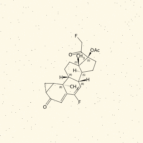 CC(=O)O[C@@]1(C(=O)CF)CC[C@H]2[C@@H]3C=C(F)C4=CC(=O)C5CC5[C@@]4(C)[C@@H]3CC[C@@]21C